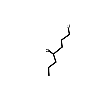 CCCC(Cl)CCCCl